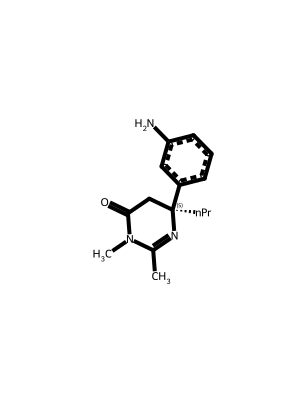 CCC[C@@]1(c2cccc(N)c2)CC(=O)N(C)C(C)=N1